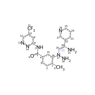 Cc1ccc(C(=O)Nc2cc(C(F)(F)F)cnn2)cc1N(N)/C=C(\N)c1cccnc1